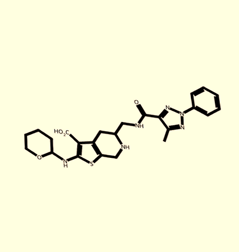 Cc1nn(-c2ccccc2)nc1C(=O)NCC1Cc2c(sc(NC3CCCCO3)c2C(=O)O)CN1